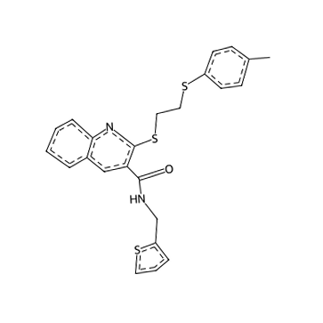 Cc1ccc(SCCSc2nc3ccccc3cc2C(=O)NCc2cccs2)cc1